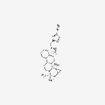 C[C@]12CCC3C(CCC4[C@@H]3[C@H]3CC3C[C@@]4(C)O)C1CCC[C@@H]2C(=O)Cn1cc(C#N)cn1